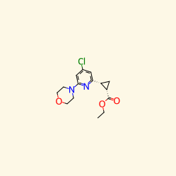 CCOC(=O)[C@H]1C[C@H]1c1cc(Cl)cc(N2CCOCC2)n1